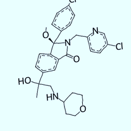 CO[C@]1(c2ccc(Cl)cc2)c2ccc(C(C)(O)CNC3CCOCC3)cc2C(=O)N1Cc1ccc(Cl)cn1